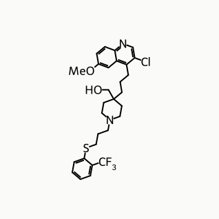 COc1ccc2ncc(Cl)c(CCCC3(CO)CCN(CCCSc4ccccc4C(F)(F)F)CC3)c2c1